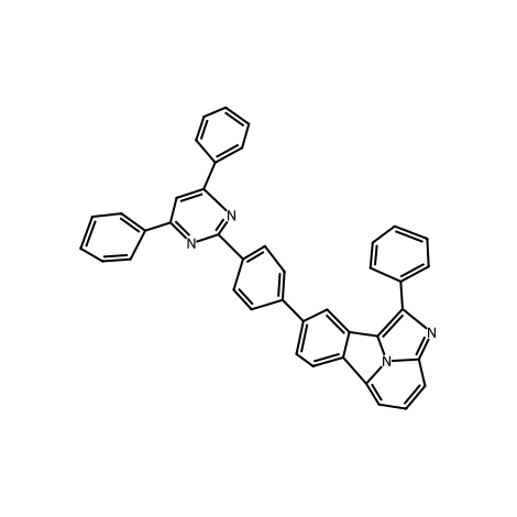 c1ccc(-c2cc(-c3ccccc3)nc(-c3ccc(-c4ccc5c(c4)c4c(-c6ccccc6)nc6cccc5n64)cc3)n2)cc1